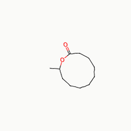 CC1CCCCCCCCC(=O)O1